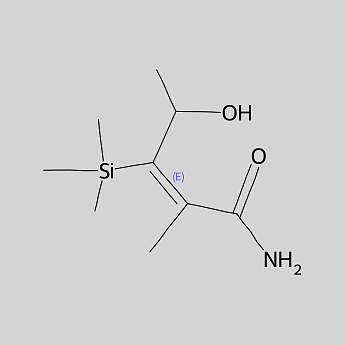 C/C(C(N)=O)=C(/C(C)O)[Si](C)(C)C